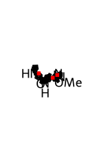 COc1cc(-c2cc3[nH]c(=O)n(C4CCC(NC5CCCC5)CC4)c3cc2C)cn2ncnc12